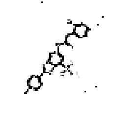 Cc1ccc(-c2nc3cc(NC(=O)Cc4ccccc4Cl)cc(S(N)(=O)=O)c3o2)cc1